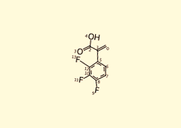 C=C(C(=O)O)c1ccc(F)c(F)c1F